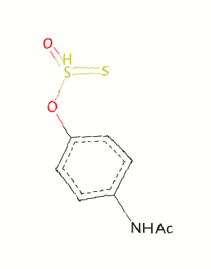 CC(=O)Nc1ccc(O[SH](=O)=S)cc1